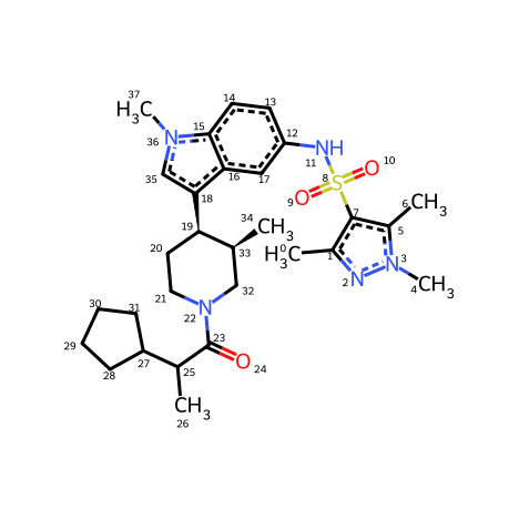 Cc1nn(C)c(C)c1S(=O)(=O)Nc1ccc2c(c1)c([C@@H]1CCN(C(=O)C(C)C3CCCC3)C[C@@H]1C)cn2C